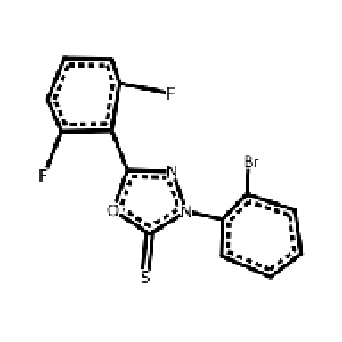 Fc1cccc(F)c1-c1nn(-c2ccccc2Br)c(=S)o1